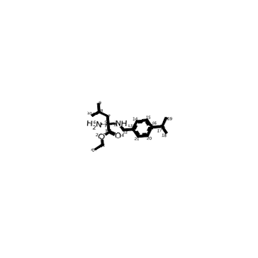 CCOC(=O)[C@@](N)(CC(C)C)NCc1ccc(C(C)C)cc1